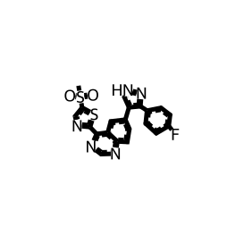 CS(=O)(=O)c1cnc(-c2ncnc3ccc(-c4c[nH]nc4-c4ccc(F)cc4)cc23)s1